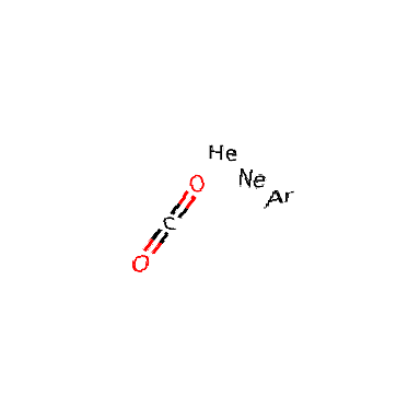 O=C=O.[Ar].[He].[Ne]